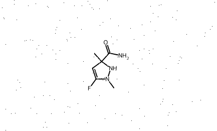 CN1NC(C)(C(N)=O)C=C1F